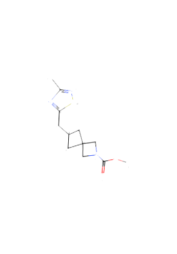 CC(C)(C)OC(=O)N1CC2(CC(Cc3nc(C(F)(F)F)ns3)C2)C1